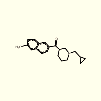 Cc1ccc2cc(C(=O)C3CCCN(CC4CC4)C3)ccc2c1